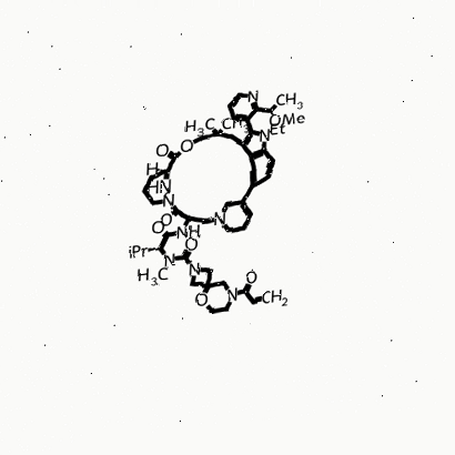 C=CC(=O)N1CCOC2(C1)CN(C(=O)N(C)[C@H](C(=O)NC1CN3CCC=C(C3)c3ccc4c(c3)c(c(-c3cccnc3[C@H](C)OC)n4CC)CC(C)(C)COC(=O)[C@@H]3CCCN(N3)C1=O)C(C)C)C2